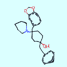 OC1(Cc2ccccc2)CCC(c2ccc3c(c2)OCO3)(N2CCCCC2)CC1